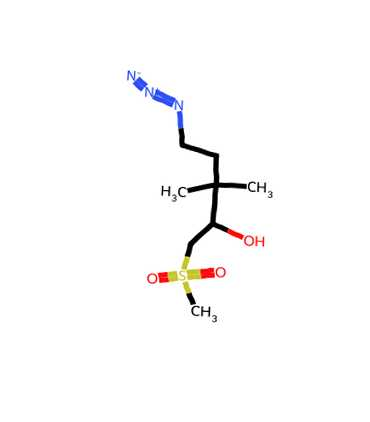 CC(C)(CCN=[N+]=[N-])C(O)CS(C)(=O)=O